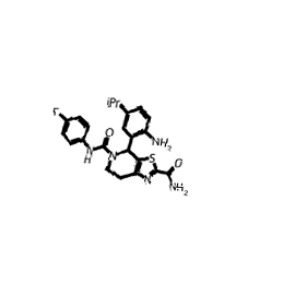 CC(C)c1ccc(N)c(C2c3sc(C(N)=O)nc3CCN2C(=O)Nc2ccc(F)cc2)c1